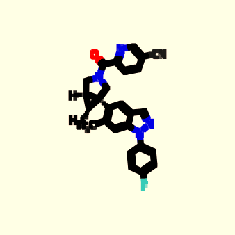 Cc1cc2c(cnn2-c2ccc(F)cc2)cc1[C@@]12CN(C(=O)c3ccc(C#N)cn3)C[C@@H]1[C@H]2C